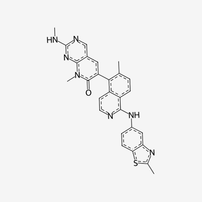 CNc1ncc2cc(-c3c(C)ccc4c(Nc5ccc6sc(C)nc6c5)nccc34)c(=O)n(C)c2n1